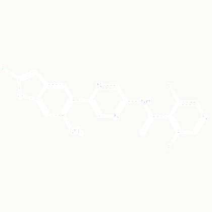 Cc1cc2oc(F)cc2cc1-c1cnc(NC(=O)c2c(F)cncc2F)cn1